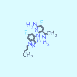 C=C(N)c1cc(F)c(N)nc1Nc1cc(F)cc2c1cnn2CCCC